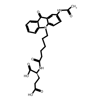 CC(=O)Nc1ccc2c(c1)c(=O)c1ccccc1n2CCCCCC(=O)N[C@@H](CCC(=O)O)C(=O)O